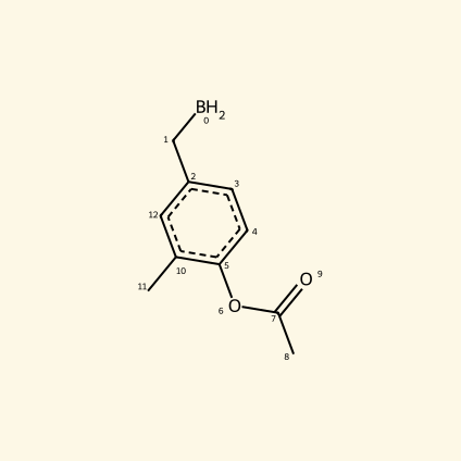 BCc1ccc(OC(C)=O)c(C)c1